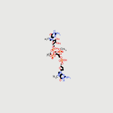 COP(=O)([O-])OC(COP(=O)(O)OC[C@@H]1CC[C@H](n2c[n+](C)c3c(=O)[nH]c(N)nc32)O1)[C@@H](COP(=O)(O)OC[C@H]1O[C@@H](n2c[n+](C)c3c(=O)[nH]c(N)nc32)[C@H](O)[C@@H]1O)OP(=O)([O-])OC